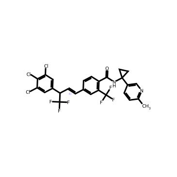 Cc1ccc(C2(NC(=O)c3ccc(/C=C/C(c4cc(Cl)c(Cl)c(Cl)c4)C(F)(F)F)cc3C(F)(F)F)CC2)cn1